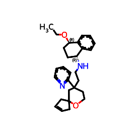 CCO[C@@H]1CC[C@@H](NCCC2(c3ccccn3)CCOC3(CC=CC3)C2)c2ccccc21